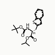 CC(C)OC(=O)[C@@H](Cc1cc2ccccc2s1)NC(=O)OC(C)(C)C